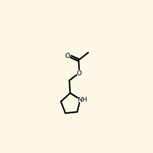 CC(=O)OCC1CCCN1